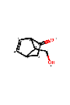 O=C1CC2C=CC1C2CO